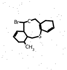 CC1CC=CC2C(Br)CCC3=C(C=CCC3)SCC12